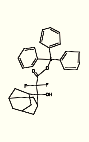 O=C(OS(c1ccccc1)(c1ccccc1)c1ccccc1)C(F)(F)C1(O)C2CC3CC(C2)CC1C3